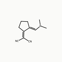 CN(C)C=C1CCCC1=C(C#N)C#N